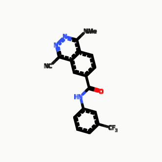 CNc1nnc(C#N)c2cc(C(=O)Nc3cccc(C(F)(F)F)c3)ccc12